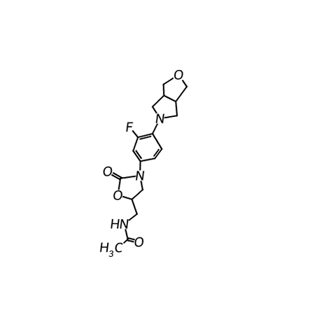 CC(=O)NCC1CN(c2ccc(N3CC4COCC4C3)c(F)c2)C(=O)O1